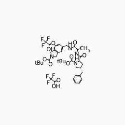 CC(NC(=O)[C@H]1C[C@H](Cc2ccccc2)CN1C(=O)OC(C)(C)C)C(=O)NCc1ccc2c(c1)CN(C(=O)OC(C)(C)C)C2.O=C(O)C(F)(F)F.O=C(O)C(F)(F)F